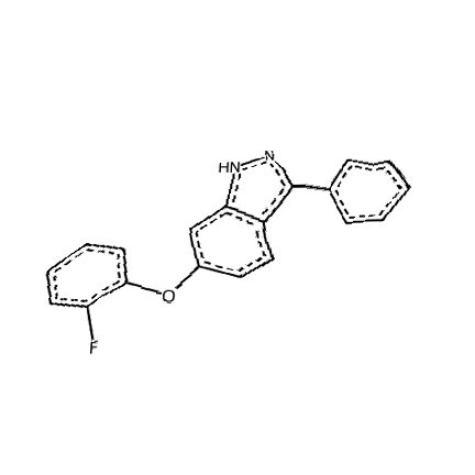 Fc1ccccc1Oc1ccc2c(-c3ccccc3)n[nH]c2c1